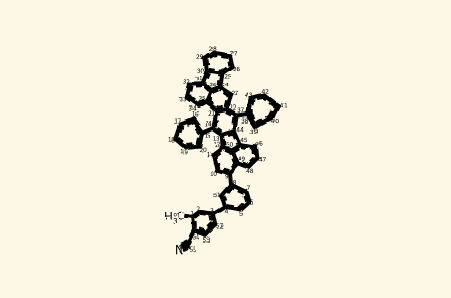 Cc1cc(-c2cccc(-c3ccc4c5c(-c6ccccc6)c6c(cc7c8ccccc8c8cccc6c87)c(-c6ccccc6)c5c5cccc3c54)c2)ccc1C#N